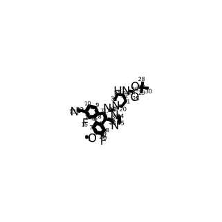 COc1ccc(-c2c(-c3ccc(C#N)c(F)c3)nc(N3CCC(NC(=O)OC(C)(C)C)CC3)n3ccnc23)cc1F